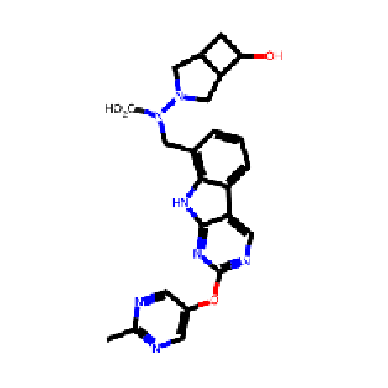 Cc1ncc(Oc2ncc3c(n2)[nH]c2c(CN(C(=O)O)N4CC5CC(O)C5C4)cccc23)cn1